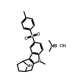 CNC.Cc1ccc(S(=O)(=O)c2ccc3c(c2)c2c(n3C)CC3CCC2N3)cc1.Cl.Cl